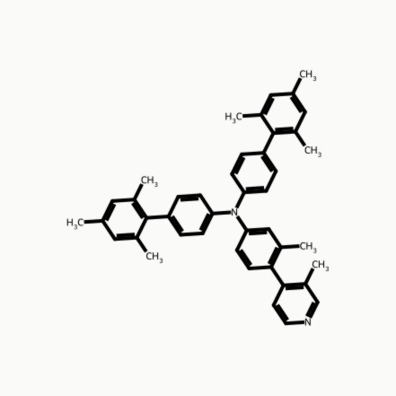 Cc1cc(C)c(-c2ccc(N(c3ccc(-c4c(C)cc(C)cc4C)cc3)c3ccc(-c4ccncc4C)c(C)c3)cc2)c(C)c1